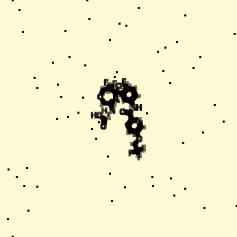 C[C@]1(c2cc(NC(=O)c3ccc(OCC(F)(F)F)cn3)ccc2F)N=C(N)COCC1(F)F.O=CO